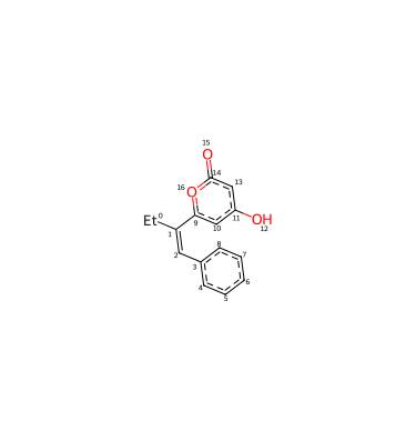 CCC(=Cc1ccccc1)c1cc(O)cc(=O)o1